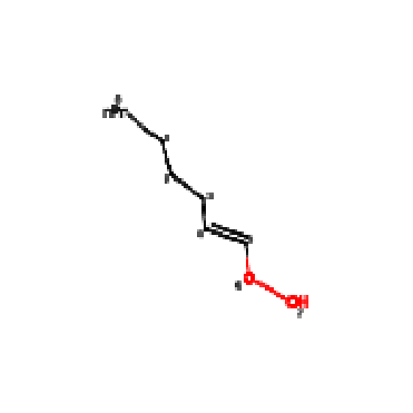 CCCCCCC=COO